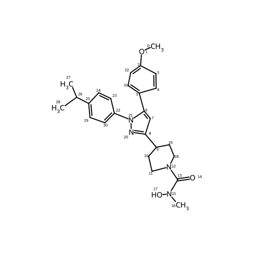 COc1ccc(-c2cc(C3CCN(C(=O)N(C)O)CC3)nn2-c2ccc(C(C)C)cc2)cc1